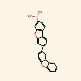 OB(O)c1ccc2c(c1)oc1cc(-c3ccc4oc5ccccc5c4c3)ccc12